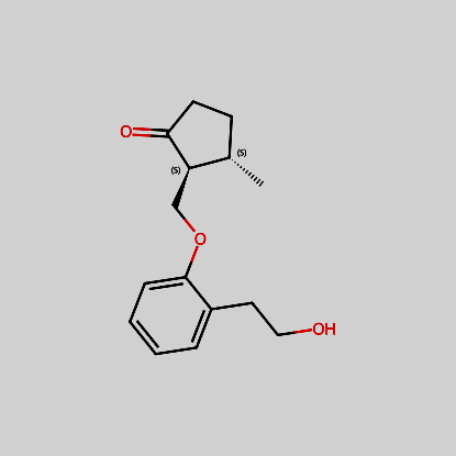 C[C@H]1CCC(=O)[C@@H]1COc1ccccc1CCO